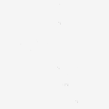 CC(F)(C1CCN(C(=O)Nc2ccon2)CC1)S(=O)(=O)c1ccc(C(F)(F)F)nc1